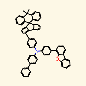 CC1(C)c2ccccc2C2(c3ccccc31)c1cccc(-c3ccc(N(c4ccc(-c5ccccc5)cc4)c4ccc(-c5cccc6c5oc5ccccc56)cc4)cc3)c1C1C=CC=CC12